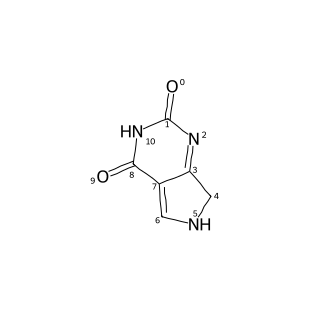 O=C1N=C2CNC=C2C(=O)N1